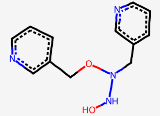 ONN(Cc1cccnc1)OCc1cccnc1